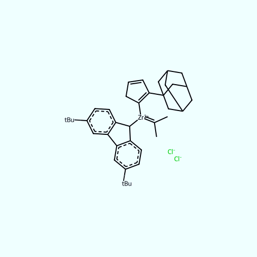 C[C](C)=[Zr+2]([C]1=C(C23CC4CC(CC(C4)C2)C3)C=CC1)[CH]1c2ccc(C(C)(C)C)cc2-c2cc(C(C)(C)C)ccc21.[Cl-].[Cl-]